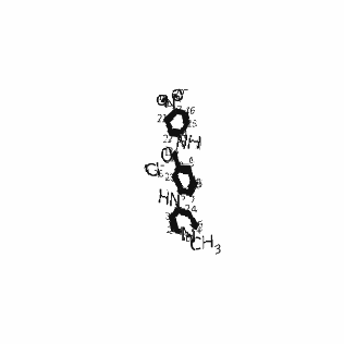 C[n+]1ccc(Nc2cccc(C(=O)Nc3ccc([N+](=O)[O-])cc3)c2)cc1.[Cl-]